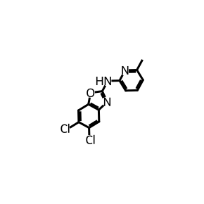 Cc1cccc(Nc2nc3cc(Cl)c(Cl)cc3o2)n1